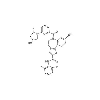 C#Cc1ccc2c(c1)N(C(=O)c1cccc(N3C[C@H](O)C[C@@H]3C)n1)CCc1cc(C(=O)Nc3c(C)cccc3F)sc1-2